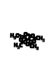 CCOC1OCC(OC(C)=O)C(OC(C)=O)C1OC(C)=O